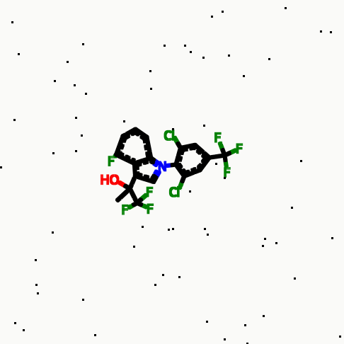 CC(O)(c1cn(-c2c(Cl)cc(C(F)(F)F)cc2Cl)c2cccc(F)c12)C(F)(F)F